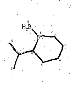 BN1CCCCC1C(C)C